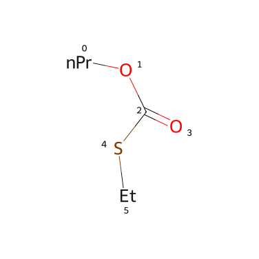 CCCOC(=O)SCC